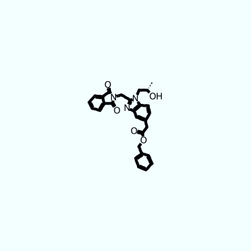 C[C@H](O)Cn1c(CN2C(=O)c3ccccc3C2=O)nc2cc(CC(=O)OCc3ccccc3)ccc21